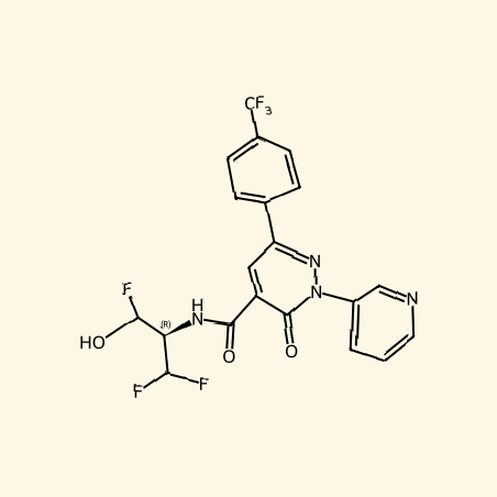 O=C(N[C@H](C(O)F)C(F)F)c1cc(-c2ccc(C(F)(F)F)cc2)nn(-c2cccnc2)c1=O